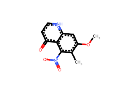 COc1cc2[nH]ccc(=O)c2c([N+](=O)[O-])c1C